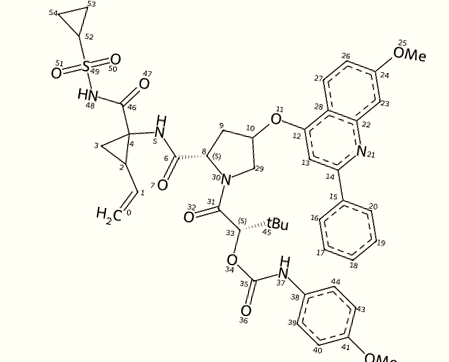 C=CC1CC1(NC(=O)[C@@H]1CC(Oc2cc(-c3ccccc3)nc3cc(OC)ccc23)CN1C(=O)[C@@H](OC(=O)Nc1ccc(OC)cc1)C(C)(C)C)C(=O)NS(=O)(=O)C1CC1